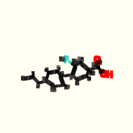 C=CCc1ccc(-c2ccc(C(=O)O)cc2F)cc1